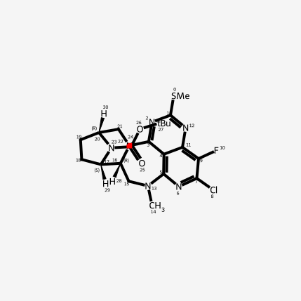 CSc1nc2c3c(nc(Cl)c(F)c3n1)N(C)C[C@@H]1[C@@H]3CC[C@H](CN21)N3C(=O)OC(C)(C)C